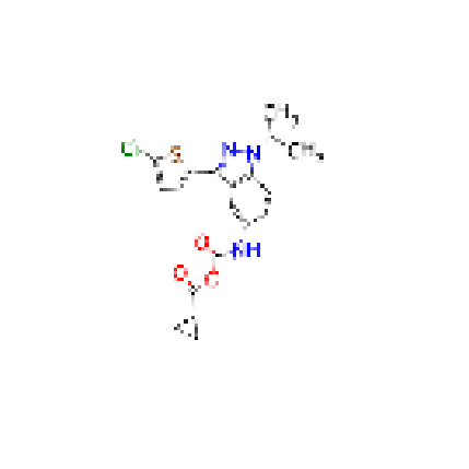 CC(C)n1nc(-c2ccc(Cl)s2)c2cc(NC(=O)OC(=O)C3CC3)ccc21